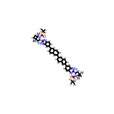 CC(C)(C)OC(=O)N1[C@@H]2CC[C@@H]2C[C@H]1c1nc2ccc(-c3ccc4cc(-c5ccc6cc(-c7ccc8nc([C@@H]9C[C@H]%10C[C@H]%10N9C(=O)OC(C)(C)C)[nH]c8c7)ccc6c5)ccc4c3)cc2[nH]1